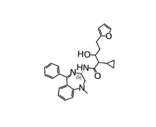 CN1C[C@@H](NC(=O)C(C(O)CCc2ccco2)C2CC2)N=C(c2ccccc2)c2ccccc21